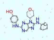 Oc1ccc(Nc2ncc3nc(Nc4ccccc4)n(C4CCOCC4)c3n2)cc1